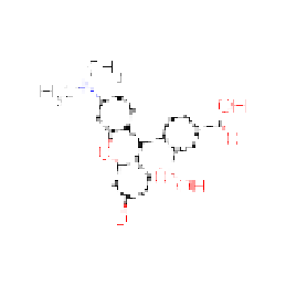 CN(C)c1ccc2c(-c3ccc(C(=O)O)cc3C(=O)O)c3ccc(=O)cc-3oc2c1